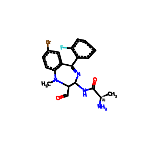 C[C@H](N)C(=O)NC1N=C(c2ccccc2F)c2cc(Br)ccc2N(C)C1C=O